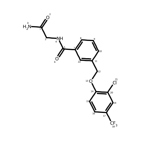 NC(=O)CNC(=O)c1cccc(COc2ccc(C(F)(F)F)cc2Cl)c1